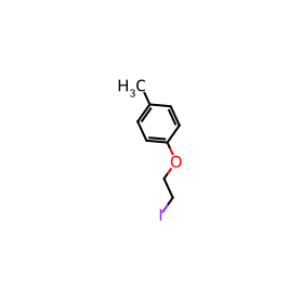 Cc1ccc(OCCI)cc1